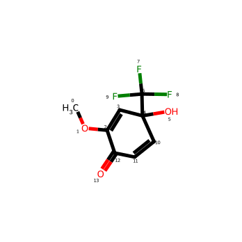 COC1=CC(O)(C(F)(F)F)C=CC1=O